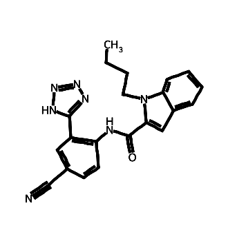 CCCCn1c(C(=O)Nc2ccc(C#N)cc2-c2nnn[nH]2)cc2ccccc21